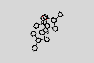 c1ccc(-c2cc(-c3ccccc3)cc(-c3ccccc3-c3cccc4c3sc3c(-c5ccccc5-c5cc(-c6ccccc6)cc(-c6ccccc6)c5)cc5c6ccccc6n(-c6ccccc6)c5c34)c2)cc1